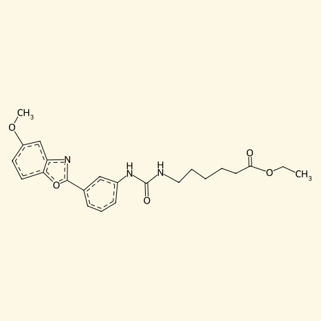 CCOC(=O)CCCCCNC(=O)Nc1cccc(-c2nc3cc(OC)ccc3o2)c1